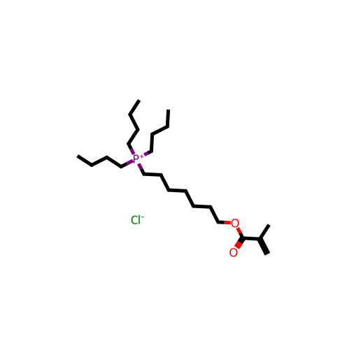 C=C(C)C(=O)OCCCCCCC[P+](CCCC)(CCCC)CCCC.[Cl-]